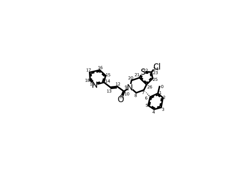 Cc1ccccc1[C@@H]1CN(C(=O)/C=C/c2ccccn2)Cc2sc(Cl)cc21